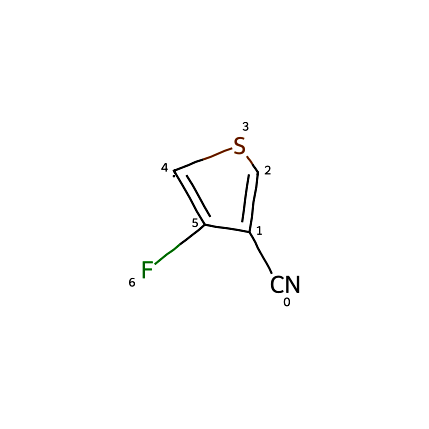 N#Cc1cs[c]c1F